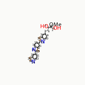 CO[C@H](CO)C(O)CCc1ccc2nc(-c3ccc4nc(-c5ccc6ncsc6c5)sc4c3)sc2c1